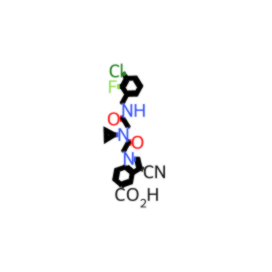 N#Cc1cn(CC(=O)N(CC(=O)NCc2cccc(Cl)c2F)C2CC2)c2ccc(C(=O)O)cc12